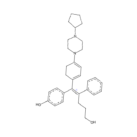 OCCC/C(=C(/C1=CC=C(N2CCN(C3CCCC3)CC2)CC1)c1ccc(O)cc1)c1ccccc1